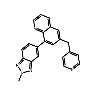 Cn1nc2ccc(-c3cc(Cc4ccncc4)cc4cccnc34)cc2n1